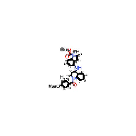 COc1ccc(C(=O)N2c3ccccc3[C@H](Nc3cccc4c3C=C[N+]4(C)C(=O)OC(C)(C)C)C[C@@H]2C)cc1